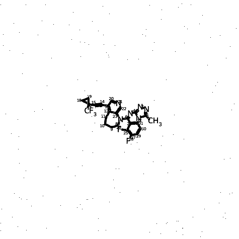 Cc1nnc2nc(N3CCCCc4c(C#CC5(C(F)(F)F)CC5)cncc43)c3c(F)c(F)ccc3n12